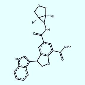 CNC(=O)c1cc(C(=O)NC2[C@H]3COC[C@@H]23)cc2c1OCC2c1c[nH]c2ccccc12